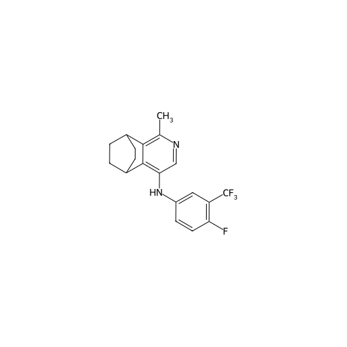 Cc1ncc(Nc2ccc(F)c(C(F)(F)F)c2)c2c1C1CCC2CC1